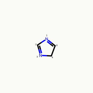 C1=NC=NC1